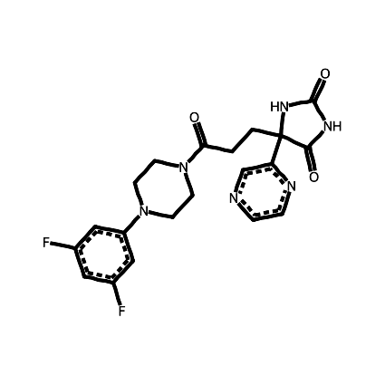 O=C1NC(=O)C(CCC(=O)N2CCN(c3cc(F)cc(F)c3)CC2)(c2cnccn2)N1